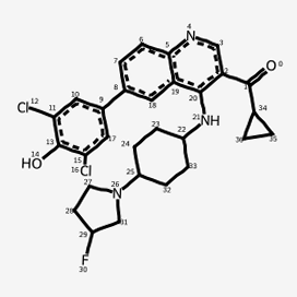 O=C(c1cnc2ccc(-c3cc(Cl)c(O)c(Cl)c3)cc2c1NC1CCC(N2CCC(F)C2)CC1)C1CC1